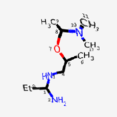 CCC(N)NCC(C)OC(C)N(C)C